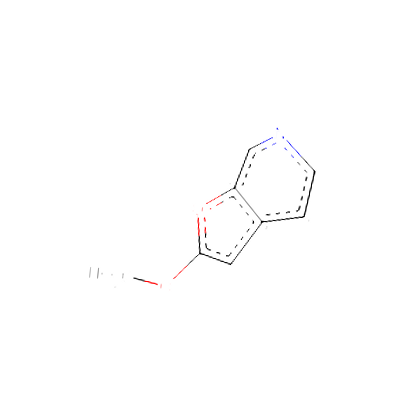 O=C(O)Oc1cc2ccncc2o1